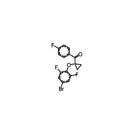 O=C(c1ccc(F)cc1)C1(Oc2c(F)cc(Br)cc2F)CC1